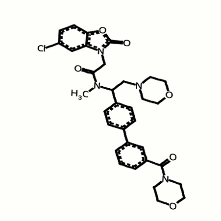 CN(C(=O)Cn1c(=O)oc2ccc(Cl)cc21)C(CN1CCOCC1)c1ccc(-c2cccc(C(=O)N3CCOCC3)c2)cc1